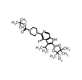 CC(C)c1c(B2OC(C)(C)C(C)(C)O2)[nH]c2cnc(N3CCN(C(=O)OC(C)(C)C)CC3)c(F)c12